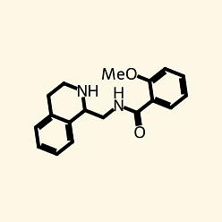 COc1ccccc1C(=O)NCC1NCCc2ccccc21